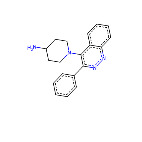 NC1CCN(c2c(-c3ccccc3)nnc3ccccc23)CC1